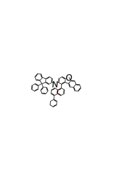 C1=CCCC(c2ccc(N(c3ccc4c(c3)C(c3ccccc3)(c3ccccc3)c3ccccc3-4)c3ccc4oc5cc6ccccc6cc5c4c3-c3ccccc3)cc2)=C1